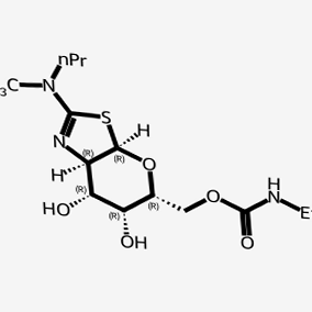 CCCN(C)C1=N[C@@H]2[C@@H](O)[C@@H](O)[C@@H](COC(=O)NCC)O[C@@H]2S1